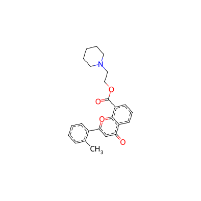 Cc1ccccc1-c1cc(=O)c2cccc(C(=O)OCCN3CCCCC3)c2o1